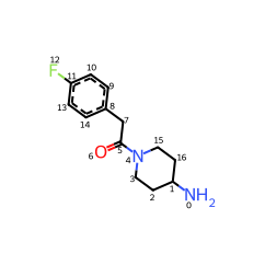 NC1CCN(C(=O)Cc2ccc(F)cc2)CC1